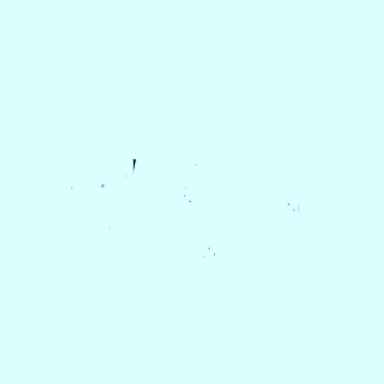 Nc1ccnc2c1ccn2C1CO[C@H](CO)[C@H]1O